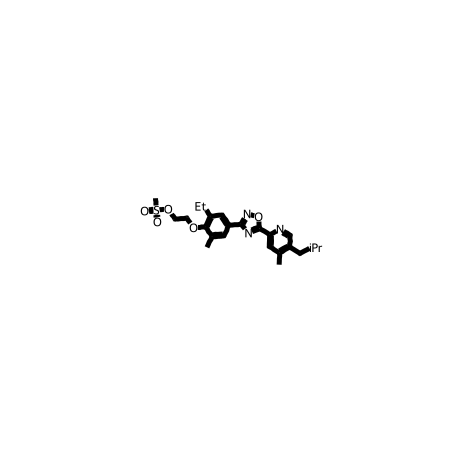 CCc1cc(-c2noc(-c3cc(C)c(CC(C)C)cn3)n2)cc(C)c1OCCOS(C)(=O)=O